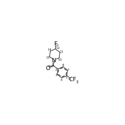 O=C(c1ccc(C(F)(F)F)cc1)N1CCC(F)CC1